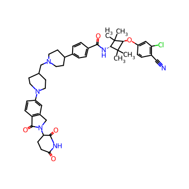 CC1(C)[C@H](NC(=O)c2ccc(C3CCN(CC4CCN(c5ccc6c(c5)CN(C5CCC(=O)NC5=O)C6=O)CC4)CC3)cc2)C(C)(C)[C@H]1Oc1ccc(C#N)c(Cl)c1